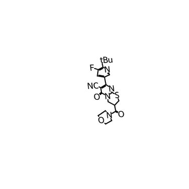 CC(C)(C)c1ncc(-c2nc3n(c(=O)c2C#N)CC(C(=O)N2CCOCC2)CS3)cc1F